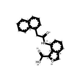 O=C(Cc1cccc2ccccc12)Nc1cccc2coc(C(=O)O)c12